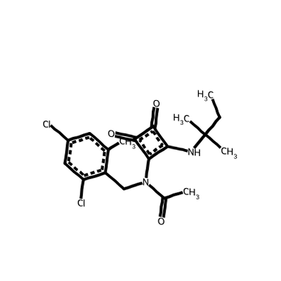 CCC(C)(C)Nc1c(N(Cc2c(C)cc(Cl)cc2Cl)C(C)=O)c(=O)c1=O